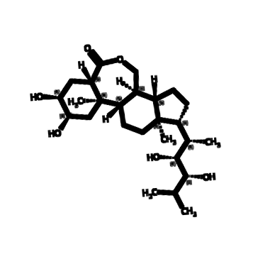 CC(C)[C@@H](O)[C@H](O)[C@@H](C)[C@H]1CC[C@H]2[C@@H]3COC(=O)[C@H]4C[C@H](O)[C@H](O)C[C@]4(C)[C@H]3CC[C@]12C